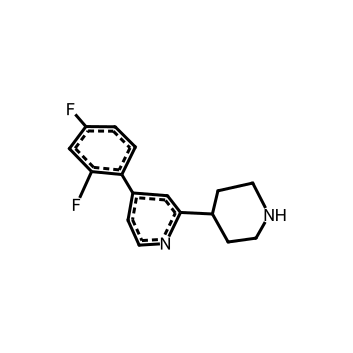 Fc1ccc(-c2ccnc(C3CCNCC3)c2)c(F)c1